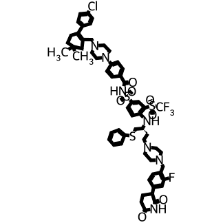 CC1(C)CCC(c2ccc(Cl)cc2)=C(CN2CCN(c3ccc(C(=O)NS(=O)(=O)c4ccc(N[C@H](CCN5CCN(Cc6ccc(C7CCC(=O)NC7=O)cc6F)CC5)CSc5ccccc5)c(S(=O)(=O)C(F)(F)F)c4)cc3)CC2)C1